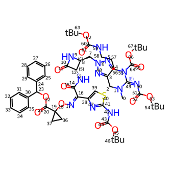 CN(Cc1cnn(C[C@@H]2NC(=O)[C@H]2NC(=O)C(=NOC2(C(=O)OC(c3ccccc3)c3ccccc3)CC2)c2csc(NC(=O)OC(C)(C)C)n2)n1)/C(=N\C(=O)OC(C)(C)C)N(CCCNC(=O)OC(C)(C)C)C(=O)OC(C)(C)C